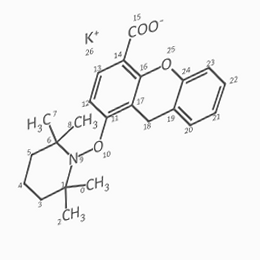 CC1(C)CCCC(C)(C)N1Oc1ccc(C(=O)[O-])c2c1Cc1ccccc1O2.[K+]